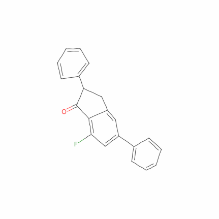 O=C1c2c(F)cc(-c3ccccc3)cc2CC1c1ccccc1